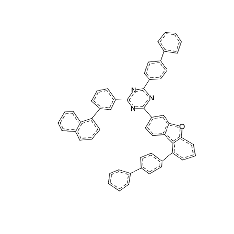 c1ccc(-c2ccc(-c3nc(-c4cccc(-c5cccc6ccccc56)c4)nc(-c4ccc5c(c4)oc4cccc(-c6ccc(-c7ccccc7)cc6)c45)n3)cc2)cc1